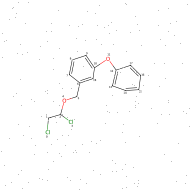 ClCC(Cl)OCc1cccc(Oc2ccccc2)c1